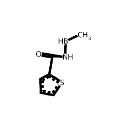 CBNC(=O)c1cccs1